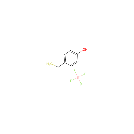 F[B-](F)(F)F.Oc1ccc(C[SH2+])cc1